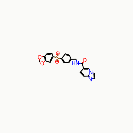 O=C(NCc1ccc(S(=O)(=O)c2ccc3c(c2)OCO3)cc1)c1ccc2nccn2c1